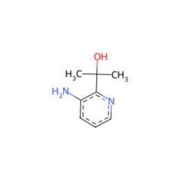 CC(C)(O)c1ncccc1N